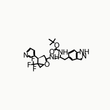 CC(C)(C)OC(=O)N[C@H](CNC(=O)C[C@H](c1cccnc1)C1(C(F)(F)F)CC1)Cc1ccc2[nH]ncc2c1